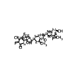 C#CCn1nc(NC(=O)c2ccc(C3=NOC(c4cc(Cl)c(F)c(Cl)c4)(C(F)(F)F)C3)cc2C)nc1C(C)(F)F